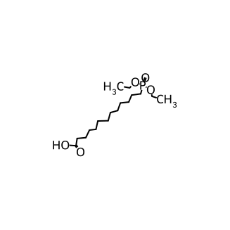 CCOP(=O)(CCCCCCCCCCCCC(=O)O)OCC